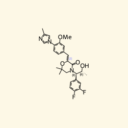 COc1cc(/C=C2\OC(C)(C)CN([C@H](c3ccc(F)c(F)c3)[C@@H](C)O)C2=O)ccc1-n1cnc(C)c1